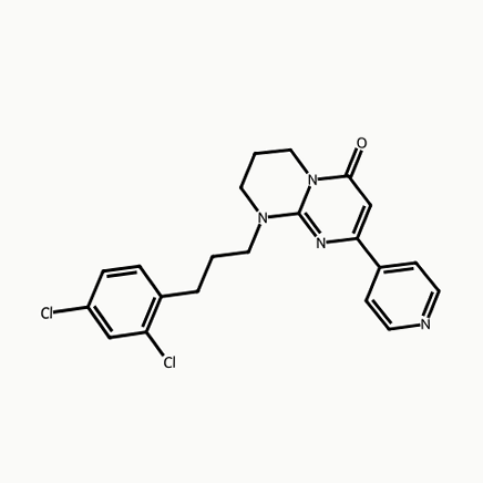 O=c1cc(-c2ccncc2)nc2n1CCCN2CCCc1ccc(Cl)cc1Cl